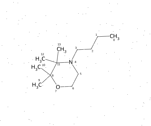 CCCCN1CCOC(C)(C)C1(C)C